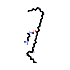 CCCCC/C=C\C/C=C\CCCCCCCCC(CCCCCCCC/C=C\C/C=C\CCCCC)OCN=C(C)CCCN(C)C